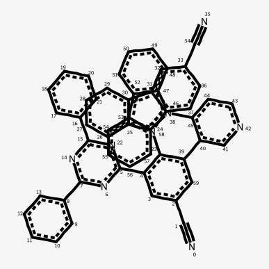 N#Cc1cc(-c2nc(-c3ccccc3)nc(-c3ccccc3)n2)c(-n2c3ccccc3c3cc(C#N)ccc32)c(-c2cnccc2-n2c3ccccc3c3ccccc32)c1